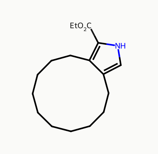 CCOC(=O)c1[nH]cc2c1CCCCCCCCCC2